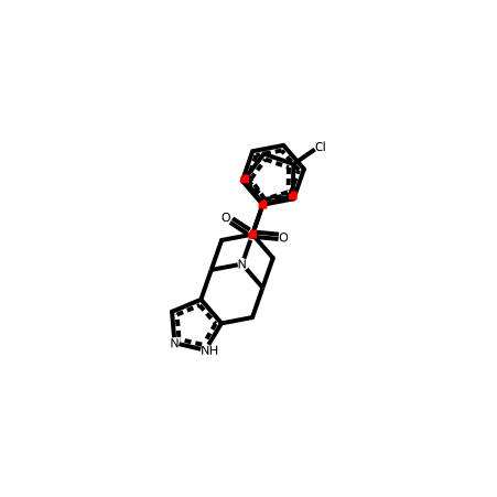 O=S(=O)(c1ccc(Cl)s1)N1C2Cc3[nH]ncc3C1CC(c1ccccc1)C2